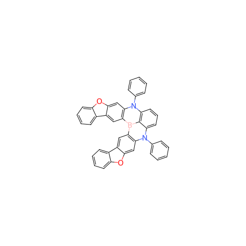 c1ccc(N2c3cc4oc5ccccc5c4cc3B3c4cc5c(cc4N(c4ccccc4)c4cccc2c43)oc2ccccc25)cc1